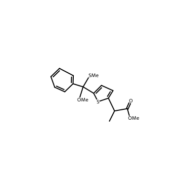 COC(=O)C(C)c1ccc(C(OC)(SC)c2ccccc2)s1